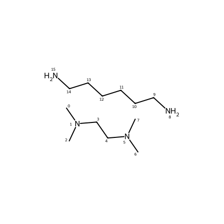 CN(C)CCN(C)C.NCCCCCCN